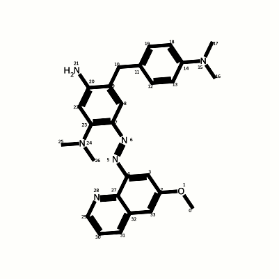 COc1cc(N=Nc2cc(Cc3ccc(N(C)C)cc3)c(N)cc2N(C)C)c2ncccc2c1